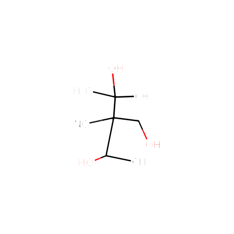 CC(O)C(C#N)(CO)C(C)(C)O